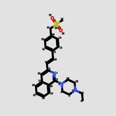 CCN1CCN(c2nc(C=Cc3ccc(CS(C)(=O)=O)cc3)cc3ccccc23)CC1